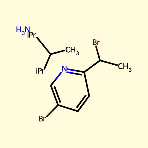 CC(Br)c1ccc(Br)cn1.CC(C)C(C)C(C)C.N